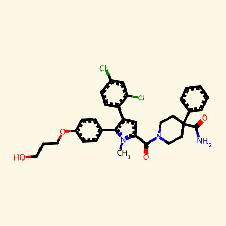 Cn1c(C(=O)N2CCC(C(N)=O)(c3ccccc3)CC2)cc(-c2ccc(Cl)cc2Cl)c1-c1ccc(OCCCO)cc1